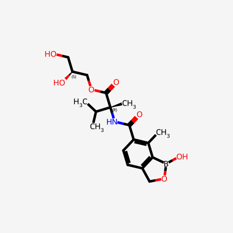 Cc1c(C(=O)N[C@@](C)(C(=O)OC[C@@H](O)CO)C(C)C)ccc2c1B(O)OC2